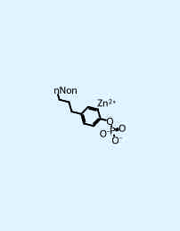 CCCCCCCCCCCCc1ccc(OP(=O)([O-])[O-])cc1.[Zn+2]